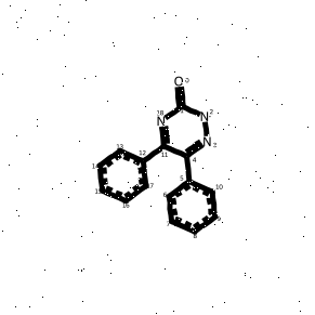 O=C1[N]N=C(c2ccccc2)C(c2ccccc2)=N1